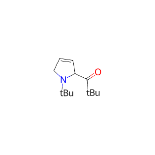 CC(C)(C)C(=O)C1C=CCN1C(C)(C)C